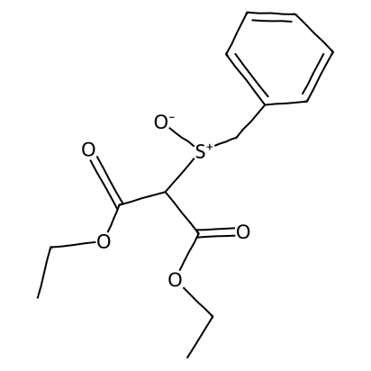 CCOC(=O)C(C(=O)OCC)[S+]([O-])Cc1ccccc1